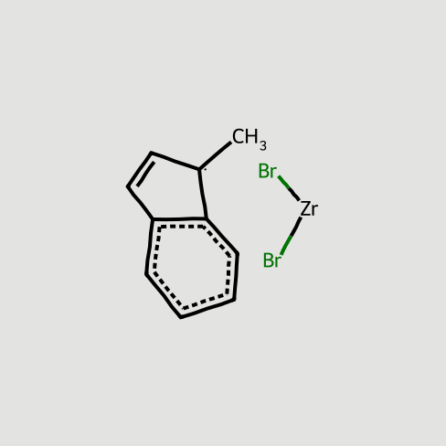 C[C]1C=Cc2ccccc21.[Br][Zr][Br]